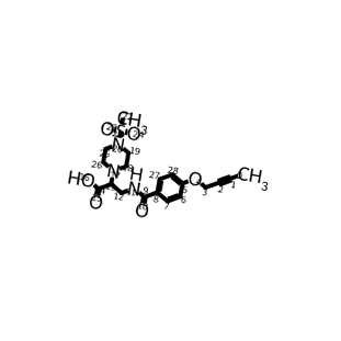 CC#CCOc1ccc(C(=O)NCC(C(=O)O)N2CCN(S(C)(=O)=O)CC2)cc1